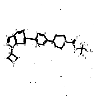 CC(C)(C)OC(=O)N1CCC(c2ccc(-c3ccc4cnn(C5COC5)c4c3)nc2)CC1